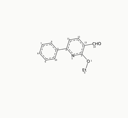 CCOc1nc(-c2ccccc2)ccc1C=O